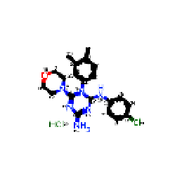 Cc1ccc(N2C(N3CCOCC3)=NC(N)=NC2Nc2ccc(Cl)cc2)cc1C.Cl